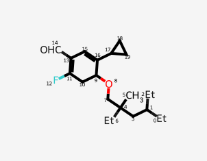 CCC(CC)CC(C)(CC)COC1CC(F)=C(C=O)C=C1C1CC1